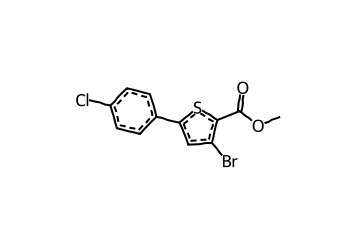 COC(=O)c1sc(-c2ccc(Cl)cc2)cc1Br